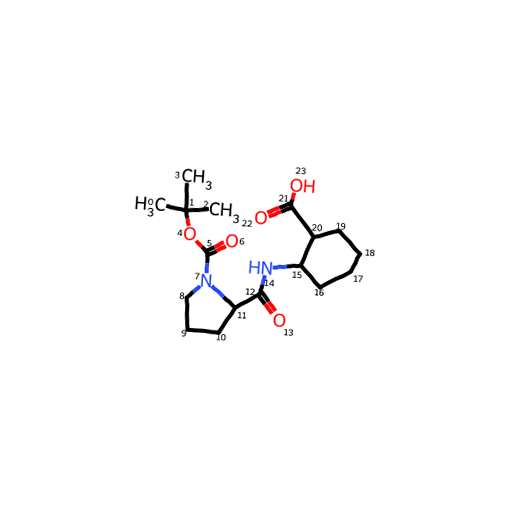 CC(C)(C)OC(=O)N1CCCC1C(=O)NC1CCCCC1C(=O)O